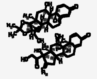 C=C1C[C@H]2[C@@H]3CCC4=CC(=O)C=C[C@]4(C)[C@@]3(F)[C@@H](O)C[C@]2(C)[C@@]1(O)C(=O)CO.CC1(C)O[C@@H]2C[C@H]3[C@@H]4CCC5=CC(=O)C=C[C@]5(C)[C@H]4[C@@H](O)C[C@]3(C)[C@]2(C(=O)CO)O1